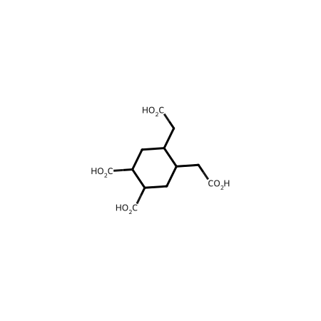 O=C(O)CC1CC(C(=O)O)C(C(=O)O)CC1CC(=O)O